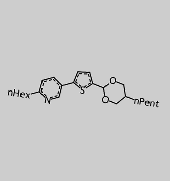 CCCCCCc1ccc(-c2ccc(C3OCC(CCCCC)CO3)s2)cn1